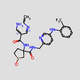 C=C/N=C\C(=C/N)C(=O)NC1(C(=O)NCc2ccc(Nc3ccccc3C(F)(F)F)cn2)CC[S+]([O-])C1